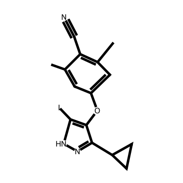 Cc1cc(Oc2c(C3CC3)n[nH]c2I)cc(C)c1C#N